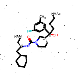 CNC[C@H](CC1CCCCC1)NC(=O)N1CCC[C@@H]([C@@](O)(CCCNC(C)=O)c2cc(C)cc(F)c2)C1